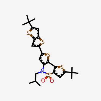 CC(C)CN1c2cc(-c3cc4sc(C(C)(C)C)cc4s3)sc2-c2sc(C(C)(C)C)cc2S1(=O)=O